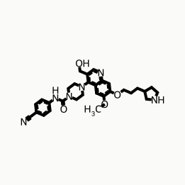 COc1cc2c(N3CCN(C(=O)Nc4ccc(C#N)cc4)CC3)c(CO)cnc2cc1OCCCC1CCNC1